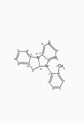 Cc1ccccc1N1c2ncncc2N2c3ccccc3CC21